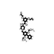 CCOc1cc(CN2CCC(NC(=O)c3cc(OCCF)cc(OCCF)c3)CC2)cc(OCC)c1-c1ccccc1